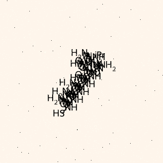 Cc1cn(CC(=O)N(CCNC(=O)CN(CCNC(=O)CN(CCNC(=O)CN(CCNC(C)C)C(=O)Cn2ccc(N)nc2=O)C(=O)Cn2cc(C)c(=O)[nH]c2=O)C(=O)Cn2cnc3c(N)ncnc32)CC(=O)NCCN(CC(=O)NCCN(CC(=O)NCCN(CC(=O)NCCCCS)C(=O)Cn2ccc(N)nc2=O)C(=O)Cn2cnc3c(N)ncnc32)C(=O)Cn2ccc(N)nc2=O)c(=O)[nH]c1=O